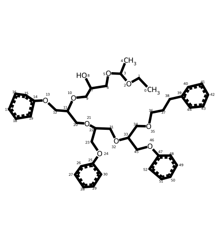 CCOC(C)OCC(O)COC(COc1ccccc1)COC(COc1ccccc1)COC(COCCCc1ccccc1)COc1ccccc1